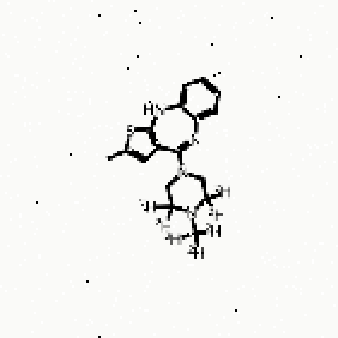 [2H]C([2H])([2H])N1C([2H])([2H])CN(C2=Nc3ccccc3Nc3sc(C)cc32)CC1([2H])[2H]